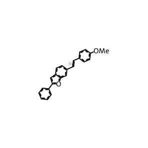 COc1ccc(/C=C/c2ccc3cc(-c4ccccc4)oc3c2)cc1